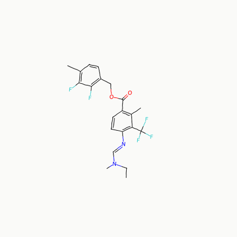 CCN(C)/C=N/c1ccc(C(=O)OCc2ccc(C)c(F)c2F)c(C)c1C(F)(F)F